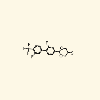 Fc1cc(C2OCC(S)CO2)ccc1-c1ccc(C(F)(F)F)c(F)c1